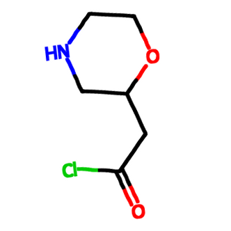 O=C(Cl)CC1CNCCO1